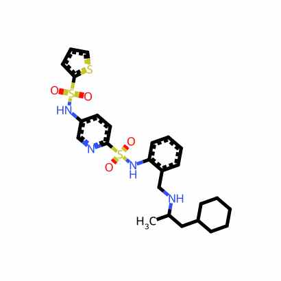 CC(CC1CCCCC1)NCc1ccccc1NS(=O)(=O)c1ccc(NS(=O)(=O)c2cccs2)cn1